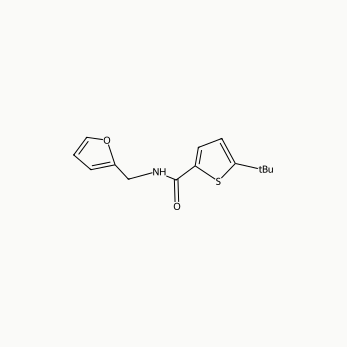 CC(C)(C)c1ccc(C(=O)NCc2ccco2)s1